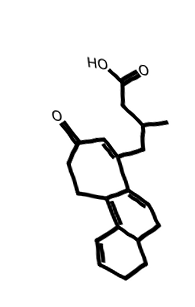 CC(CC(=O)O)CC1=CC(=O)CCC2=C3C=CCCC3CC=C12